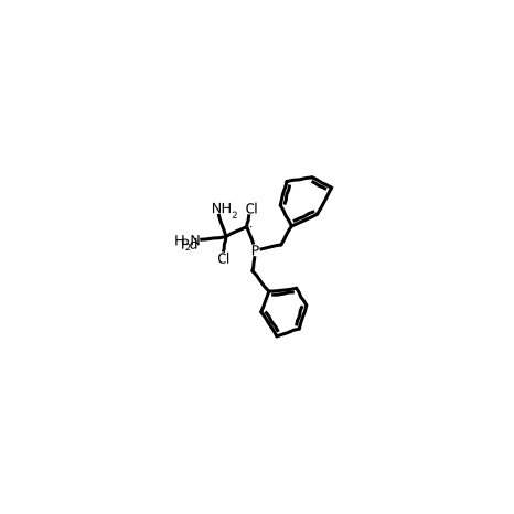 NC(N)(Cl)[C](Cl)P(Cc1ccccc1)Cc1ccccc1.[Pd]